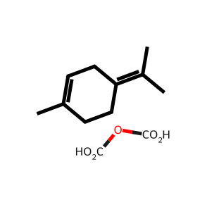 CC1=CCC(=C(C)C)CC1.O=C(O)OC(=O)O